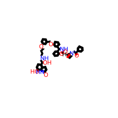 O=C(NC(c1ccccc1)c1cccc(OCc2cccc(OCCCCNCC(O)c3ccc(O)c4[nH]c(=O)ccc34)c2)c1)O[C@H]1C[N+]2(CC(=O)c3ccccc3)CCC1CC2